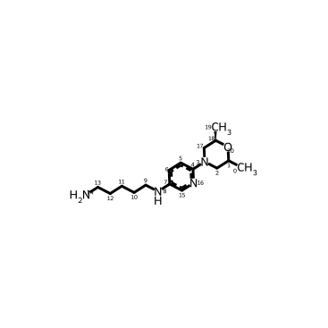 CC1CN(c2ccc(NCCCCCN)cn2)C[C@@H](C)O1